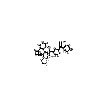 O[C@H]1CNCC[C@H]1Nc1nc(-c2ccnc(Nc3ncc(F)cc3F)c2)nc2cncc(C3=CC=C3)c12